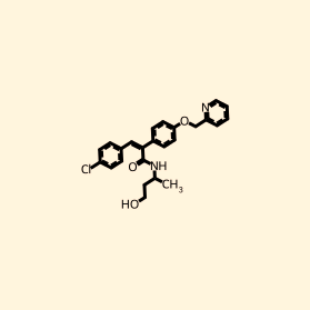 CC(CCO)NC(=O)C(=Cc1ccc(Cl)cc1)c1ccc(OCc2ccccn2)cc1